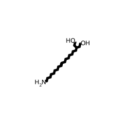 NCCCCCCCCC=CCCCCCCCC(CCO)CCO